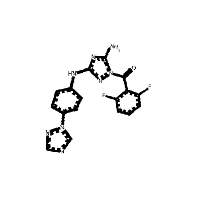 Nc1nc(Nc2ccc(-n3cncn3)cc2)nn1C(=O)c1c(F)cccc1F